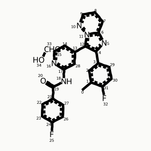 Cc1cc(-c2nc3cccnn3c2-c2ccnc(NC(=O)c3ccc(F)cc3)c2)ccc1F.O=CO